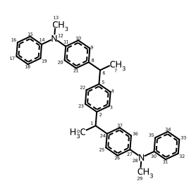 CC(c1ccc(C(C)c2ccc(N(C)c3ccccc3)cc2)cc1)c1ccc(N(C)c2ccccc2)cc1